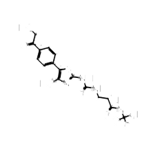 CCC(=O)c1ccc(-c2sc(NC(=O)NCCC(=O)NC(C)(C)C)nc2C)cc1